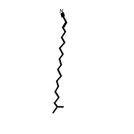 CC(C)CCCCCCCCCCCCCCC=CC#N